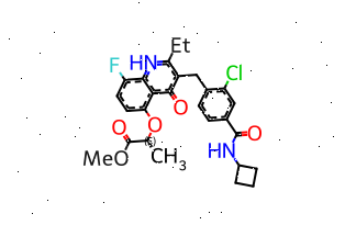 CCc1[nH]c2c(F)ccc(O[C@@H](C)C(=O)OC)c2c(=O)c1Cc1ccc(C(=O)NC2CCC2)cc1Cl